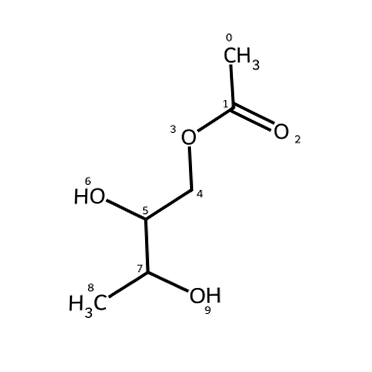 CC(=O)OCC(O)C(C)O